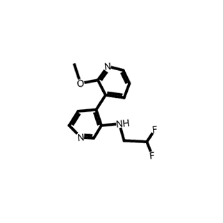 COc1ncccc1-c1ccncc1NCC(F)F